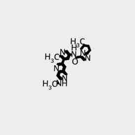 CNc1cc2ncc(-c3cc(NC(=O)c4cnc5n4C[C@@H](C)CC5)cnc3C)cc2cn1